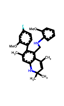 COc1ccccc1NCc1c2c(cc(C)c1-c1ccc(F)cc1OC)NC(C)(C)C=C2C